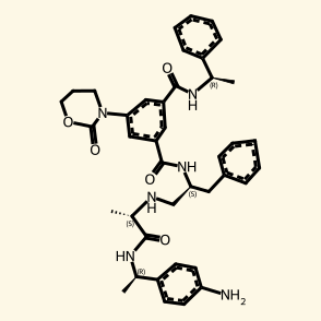 C[C@H](NC[C@H](Cc1ccccc1)NC(=O)c1cc(C(=O)N[C@H](C)c2ccccc2)cc(N2CCCOC2=O)c1)C(=O)N[C@H](C)c1ccc(N)cc1